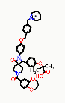 CC(C)(Oc1ccc(C2N(c3ccc(OCc4ccc(C[N+]56CCC(CC5)CC6)cc4)cc3)C(=O)C23CCN(C(=O)c2ccc4c(c2)OCCCO4)CC3)cc1)C(=O)O